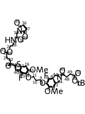 COc1cc2c(c(F)c1OCCCOc1c(OC)cc3sc(C(=O)CCC(=O)OCCNC(=O)CN4C(=O)C=CC4=O)cc3c1F)CN(C(=O)CCC(=O)OC(C)(C)C)C2